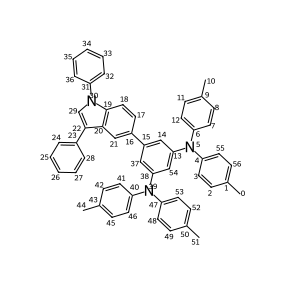 Cc1ccc(N(c2ccc(C)cc2)c2cc(-c3ccc4c(c3)c(-c3ccccc3)cn4-c3ccccc3)cc(N(c3ccc(C)cc3)c3ccc(C)cc3)c2)cc1